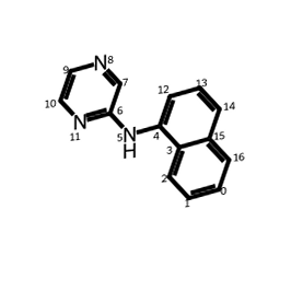 c1ccc2c(Nc3cnccn3)cccc2c1